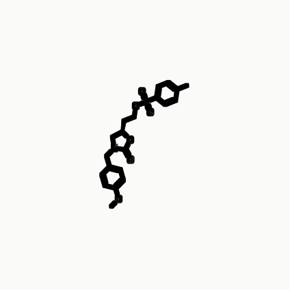 COc1ccc(CN2C[C@@H](CCOS(=O)(=O)c3ccc(C)cc3)OC2=O)cc1